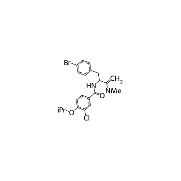 C=C(NC)C(Cc1ccc(Br)cc1)NC(=O)c1ccc(OC(C)C)c(Cl)c1